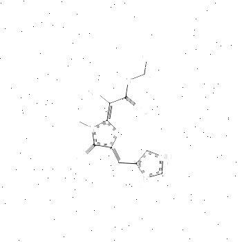 CCn1c(=O)/c(=C/c2c[nH]cn2)s/c1=C(/C#N)C(=O)NCC(F)(F)F